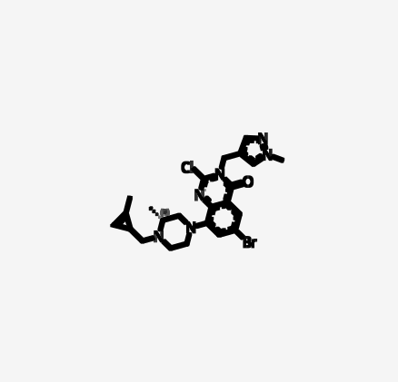 CC1=CC1CN1CCN(c2cc(Br)cc3c(=O)n(Cc4cnn(C)c4)c(Cl)nc23)C[C@H]1C